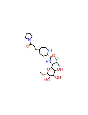 CSC1O[C@H]([C@H](NC(=O)[C@@H]2CC[C@H](CCC(=O)N3CCCC3)CCN2)[C@H](C)Cl)C(O)C(O)[C@H]1O